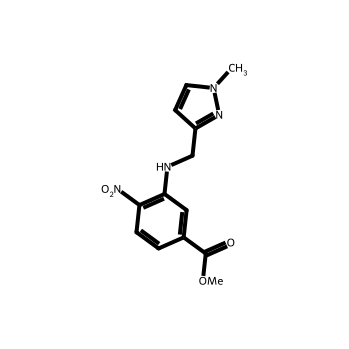 COC(=O)c1ccc([N+](=O)[O-])c(NCc2ccn(C)n2)c1